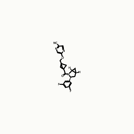 N#Cc1cnc(OCC23CC(C(=O)N4[C@@H]5C[C@@H]5C[C@H]4c4cc(F)cc(F)c4)(C2)C3)cn1